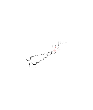 CCCCC/C=C\C/C=C\CCCCCCCCC1(CCCCCCCC/C=C\C/C=C\CCCCC)CCC2(C1)O[C@H]1CC(NC)C[C@H]1O2